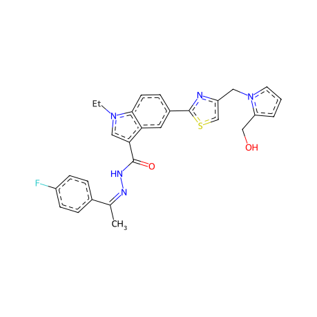 CCn1cc(C(=O)NN=C(C)c2ccc(F)cc2)c2cc(-c3nc(Cn4cccc4CO)cs3)ccc21